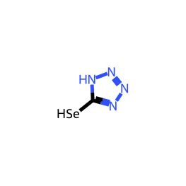 [SeH]c1nnn[nH]1